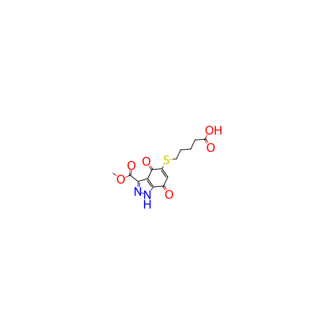 COC(=O)c1n[nH]c2c1C(=O)C(SCCCCC(=O)O)=CC2=O